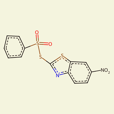 O=[N+]([O-])c1ccc2nc(SS(=O)(=O)c3ccccc3)sc2c1